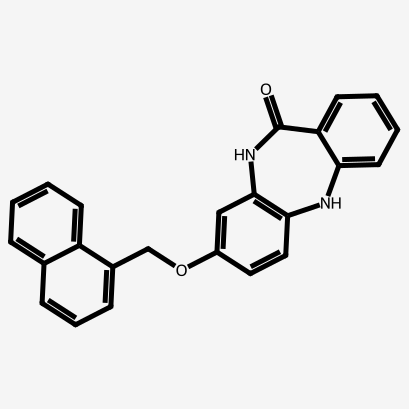 O=C1Nc2cc(OCc3cccc4ccccc34)ccc2Nc2ccccc21